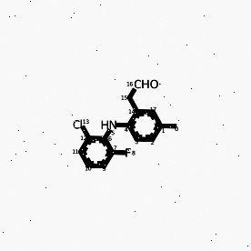 Cc1ccc(Nc2c(F)cccc2Cl)c(C[C]=O)c1